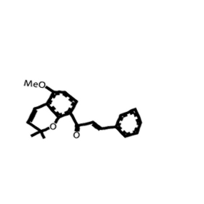 COc1ccc(C(=O)C=Cc2ccccc2)c2c1C=CC(C)(C)O2